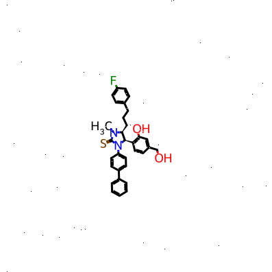 CN1C(=S)N(c2ccc(-c3ccccc3)cc2)[C@H](c2ccc(CO)cc2O)[C@@H]1CCCc1ccc(F)cc1